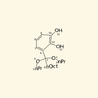 CCCCCCCCC(OCCC)(OCCC)c1cccc(O)c1O